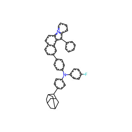 Fc1ccc(N(c2ccc(-c3ccc4ccc5c(c(-c6ccccc6)c6ccccn65)c4c3)cc2)c2ccc(C3C4CC5CC(C4)CC3C5)cc2)cc1